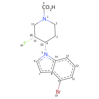 O=C(O)N1CC[C@H](n2ccc3c(Br)cccc32)[C@H](F)C1